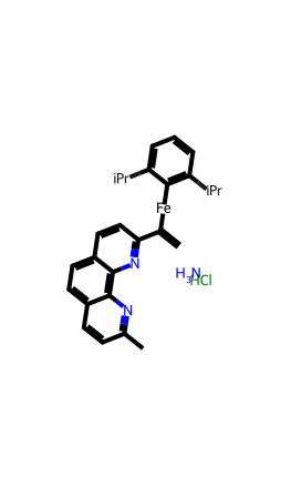 C=[C]([Fe][c]1c(C(C)C)cccc1C(C)C)c1ccc2ccc3ccc(C)nc3c2n1.Cl.N